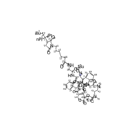 CCCC(SC(C)CC)(C(C)C)C1CC(=O)N(CCCCCC(=O)NCC(=O)NCC(=O)N[C@@H](Cc2ccccc2)C(=O)NCC(=O)N(C)CCN(C)C(=O)O[C@@]2(CC)C(=O)OCc3c2cc2n(c3=O)Cc3c-2nc2ccccc2c3/C=N/OC(C)(C)C)C1=O